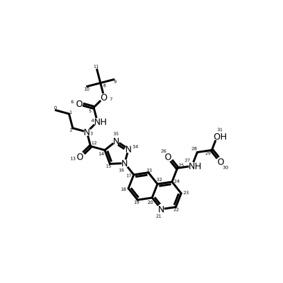 CCCN(NC(=O)OC(C)(C)C)C(=O)c1cn(-c2ccc3nccc(C(=O)NCC(=O)O)c3c2)nn1